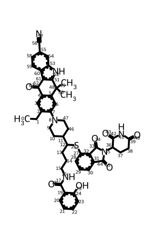 CCc1cc2c(cc1N1CCC(C(CCCNC(=O)c3ccccc3O)Sc3cccc4c3C(=O)N(C3CCC(=O)NC3=O)C4=O)CC1)C(C)(C)c1[nH]c3cc(C#N)ccc3c1C2=O